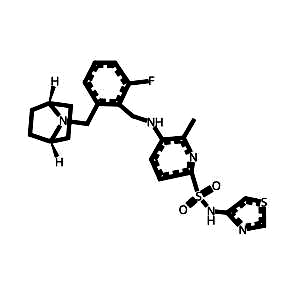 Cc1nc(S(=O)(=O)Nc2cscn2)ccc1NCc1c(F)cccc1CN1[C@H]2CC[C@@H]1CC2